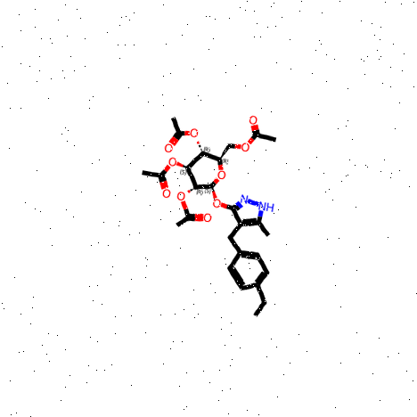 CCc1ccc(Cc2c(O[C@@H]3O[C@H](COC(C)=O)[C@@H](OC(C)=O)[C@H](OC(C)=O)[C@H]3OC(C)=O)n[nH]c2C)cc1